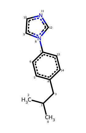 CC(C)Cc1ccc(-n2ccnc2)cc1